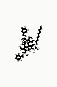 CCCCCCCCCCn1cc(C(c2[nH]c(C(=O)OCc3ccccc3)c(CC)c2CC)c2[nH]c(C(=O)OCc3ccccc3)c(CC)c2CC)c(=O)[nH]c1=O